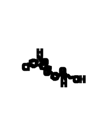 O=C1Nc2ccc(Cl)cc2C1=Cc1ccc(-c2cccc(C(=O)NCCCO)c2)o1